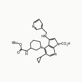 CC(C)(C)OC(=O)NC1CCCN(c2c(C3CC3)cnc3c2c(NCc2cccnc2)cn3C(=O)O)C1